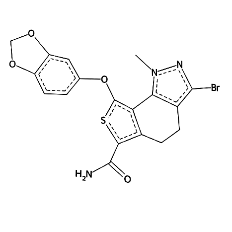 Cn1nc(Br)c2c1-c1c(Oc3ccc4c(c3)OCO4)sc(C(N)=O)c1CC2